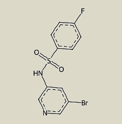 O=S(=O)(Nc1cncc(Br)c1)c1ccc(F)cc1